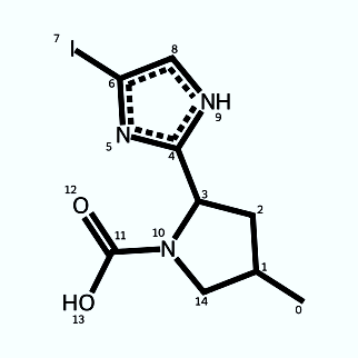 CC1CC(c2nc(I)c[nH]2)N(C(=O)O)C1